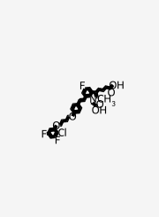 Cc1c(CCCC(=O)O)c2cc(F)cc(/C=C/c3ccc(OCCCCOc4cc(F)cc(F)c4Cl)cc3)c2n1CC(=O)O